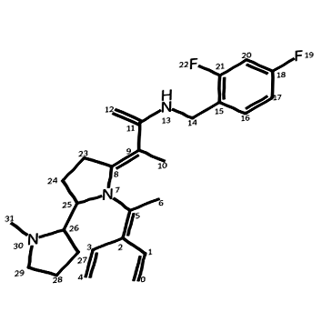 C=CC(C=C)=C(C)N1/C(=C(\C)C(=C)NCc2ccc(F)cc2F)CCC1C1CCCN1C